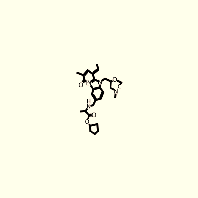 C/C=C(\C=C(\C)C(=O)CC)c1nc2cc(CNC(C)C(=O)OC3CCCC3)ccc2n1CC1CN(C)CCO1